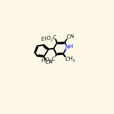 CCOC(=O)C1=C(C#N)NC(C)=C(C(=O)O)C1c1ccccc1C#N